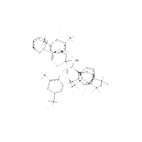 CC(C)(C)c1ccc(OP(=O)(Oc2ccc(C(C)(C)C)cc2C(C)(C)C)C2(P(=O)(Oc3ccc(C(C)(C)C)cc3C(C)(C)C)Oc3ccc(C(C)(C)C)cc3C(C)(C)C)C=CC(c3ccccc3)=CC2)c(C(C)(C)C)c1